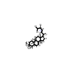 CO[C@]1(O)CC[C@@]2(C)C(=CC=C3[C@@H]4CC[C@H]([C@H](C)/C=C/[C@H](C)C(C)C)[C@@]4(C)CC[C@@H]32)C1